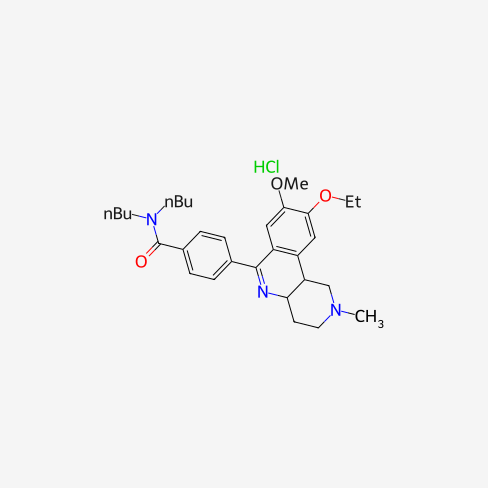 CCCCN(CCCC)C(=O)c1ccc(C2=NC3CCN(C)CC3c3cc(OCC)c(OC)cc32)cc1.Cl